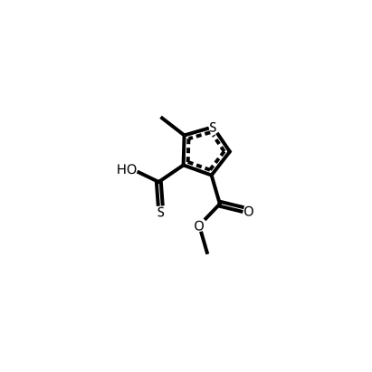 COC(=O)c1csc(C)c1C(O)=S